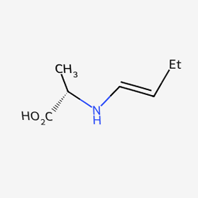 CC/C=C/N[C@@H](C)C(=O)O